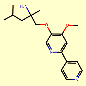 COc1cc(-c2c[c]ncc2)ncc1OCC(C)(N)CC(C)C